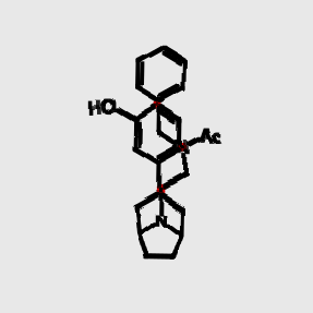 CC(=O)N(CCN1C2CCC1CC(c1cccc(O)c1)C2)Cc1ccccc1